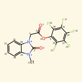 CCn1c(=O)n(CC(=O)Oc2c(F)c(F)c(F)c(F)c2F)c2ccccc21